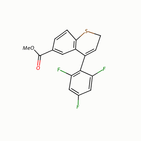 COC(=O)c1ccc2c(c1)C(c1c(F)cc(F)cc1F)=CCS2